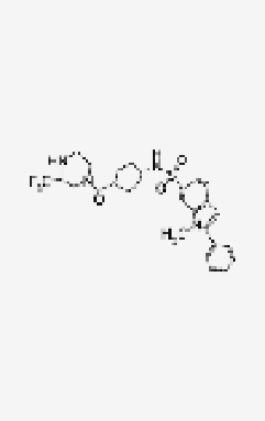 Cn1c(-c2ccccc2)cc2ccc(S(=O)(=O)N[C@H]3CC[C@H](C(=O)N4CCNC(C(F)(F)F)C4)CC3)cc21